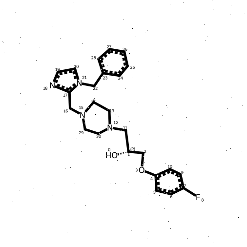 O[C@@H](COc1ccc(F)cc1)CN1CCN(Cc2nccn2Cc2ccccc2)CC1